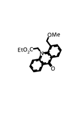 CCOC(=O)Cn1c2ccccc2c(=O)c2cccc(COC)c21